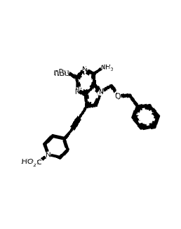 CCCCc1nc(N)c2c(n1)c(C#CC1CCN(C(=O)O)CC1)cn2COCc1ccccc1